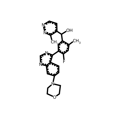 Cc1cc(F)c(-c2ncnc3cc(N4CCOCC4)ccc23)cc1C(O)c1ccnnc1C